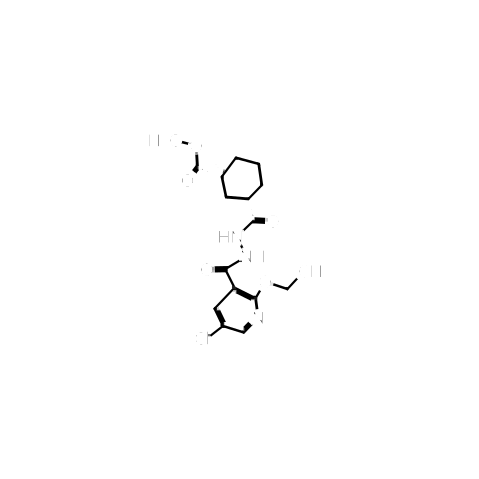 CCOc1ncc(Cl)cc1C(=O)NNC(=O)[C@H]1CCC[C@@H](C(=O)OC)C1